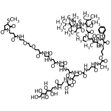 CC[C@H](C)[C@@H]([C@@H](CC(=O)N1CCC[C@H]1[C@H](OC)[C@@H](C)C(=O)N[C@@H](Cc1ccccc1)C(=O)NCCCOC(=O)C(C)NC(=O)CCNC(=O)OCC(NC(=O)CNC(=O)CNC(=O)CNC(=O)CNC(=O)CCOCCOCCNC(=O)CCN1C(=O)CC(SC)C1=O)C(=O)N[C@@H](CCC(=O)NC[C@H](O)[C@@H](O)[C@H](O)[C@H](O)CO)C(=O)O)OC)N(C)C(=O)C(NC(=O)[C@H](C(C)C)N(C)C)C(C)C